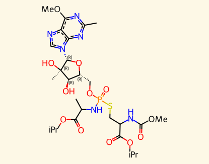 COC(=O)NC(CSP(=O)(NC(C)C(=O)OC(C)C)OC[C@H]1O[C@@H](n2cnc3c(OC)nc(C)nc32)[C@](C)(O)[C@@H]1O)C(=O)OC(C)C